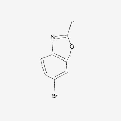 [CH2]c1nc2ccc(Br)cc2o1